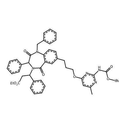 CCOC(=O)CC(c1ccccc1)N1C(=O)c2cc(CCCOc3cc(C)nc(NC(=O)OC(C)(C)C)n3)ccc2N(Cc2ccccc2)C(=O)C1c1ccccc1